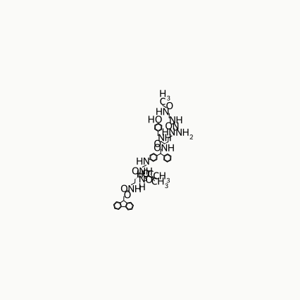 CCC(=O)NCCNC(=O)/N=C(/N)NCCC[C@@H](NC(=O)C(c1ccccc1)c1ccc(NCCNC(=O)[C@@H](CCCNC(=O)OCC2c3ccccc3-c3ccccc32)NC(=O)OC(C)(C)C)cc1)C(=O)NCc1ccc(O)cc1